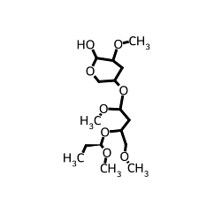 CC[C@H](OC)OC(COC)CC(OC)OC1COC(O)C(OC)C1